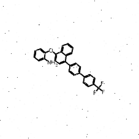 Nc1ccccc1Oc1ccc(-c2ccc(-c3ccc(C(F)(F)F)cc3)cc2)c2ccccc12